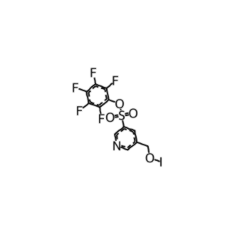 O=S(=O)(Oc1c(F)c(F)c(F)c(F)c1F)c1cncc(COI)c1